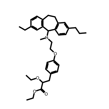 CCCc1ccc2c(c1)CCc1ccc(CC)cc1C2N(C)CCOc1ccc(CC(OCC)C(=O)OCC)cc1